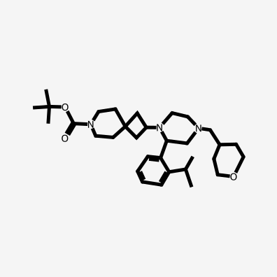 CC(C)c1ccccc1C1CN(CC2CCOCC2)CCN1C1CC2(CCN(C(=O)OC(C)(C)C)CC2)C1